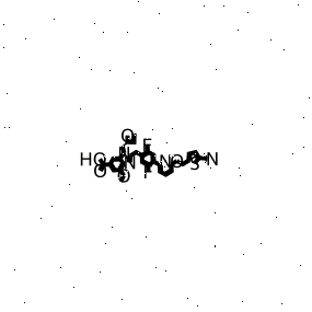 COc1cc(C(=O)O)cc2c1nc(Cc1cc(F)c(-c3cccc(OCc4ccc(C#N)s4)n3)cc1F)n2C[C@@H]1CCO1